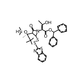 C/C(O)=C(/C(=O)OC(c1ccccc1)c1ccccc1)N1C(=O)C([C@](C)(O[SiH](C)C)C(C)(C)C)C1SSc1nc2ccccc2s1